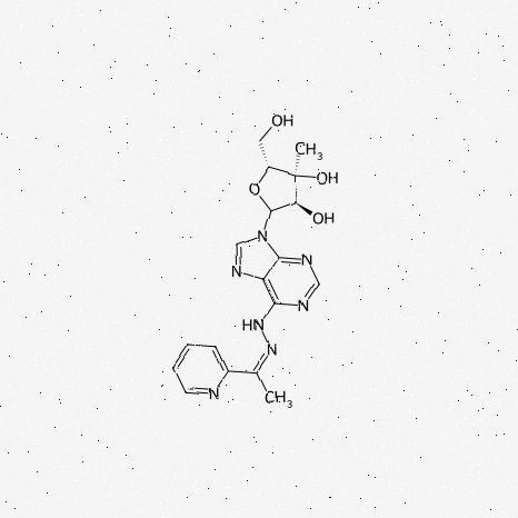 C/C(=N/Nc1ncnc2c1ncn2C1O[C@H](CO)[C@@](C)(O)[C@H]1O)c1ccccn1